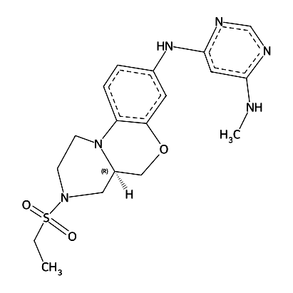 CCS(=O)(=O)N1CCN2c3ccc(Nc4cc(NC)ncn4)cc3OC[C@H]2C1